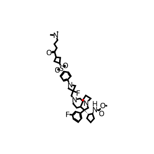 COC(=O)N[C@H]1CCC[C@@H]1C(CN1CCC1)(c1cccc(F)c1)C1CCN(CC2(F)CN(c3ccc(S(=O)(=O)C4CC(C(=O)CCCN(C)C)C4)cc3)C2)CC1